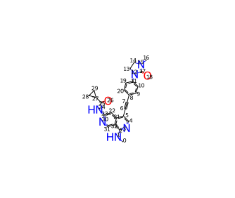 CNc1ncc(C#Cc2ccc(N3CCN(C)C3=O)cc2)c2cc(NC(=O)C3CC3)ncc12